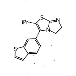 CC(C)C1=C(c2ccc3ccsc3c2)N2CCN=C2S1